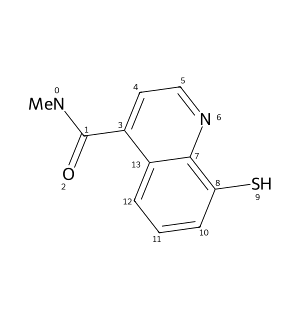 CNC(=O)c1ccnc2c(S)cccc12